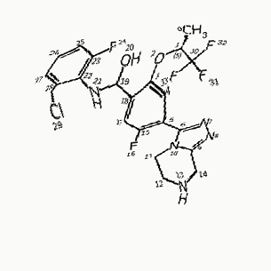 C[C@H](Oc1cc(-c2nnc3n2CCNC3)c(F)cc1C(O)Nc1c(F)cccc1Cl)C(F)(F)F